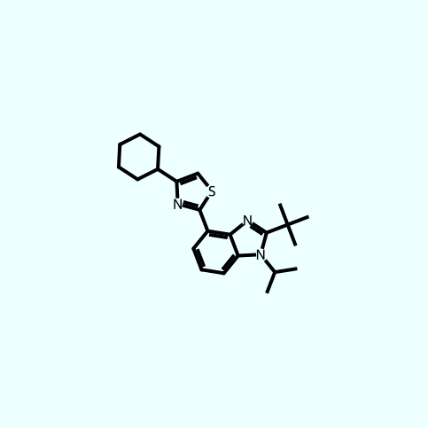 CC(C)n1c(C(C)(C)C)nc2c(-c3nc(C4CCCCC4)cs3)cccc21